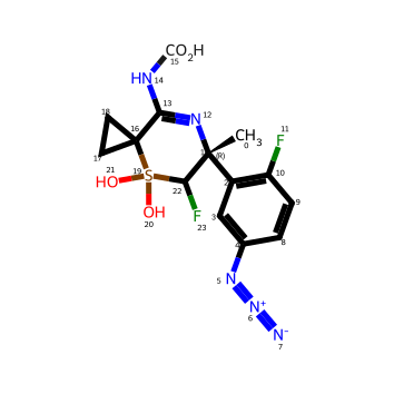 C[C@]1(c2cc(N=[N+]=[N-])ccc2F)N=C(NC(=O)O)C2(CC2)S(O)(O)C1F